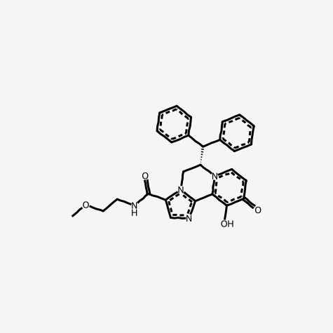 COCCNC(=O)c1cnc2n1C[C@H](C(c1ccccc1)c1ccccc1)n1ccc(=O)c(O)c1-2